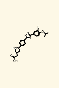 CC(C)Oc1ccc(-c2nc(-c3ccc(C4CC(CC(=O)O)CN4)cc3)no2)cc1F